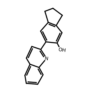 Oc1cc2c(cc1-c1ccc3ccccc3n1)CCC2